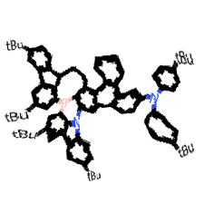 CC(C)(C)c1ccc(N(c2ccc(C(C)(C)C)cc2)c2ccc3c(c2)c2ccccc2c2c4c5c(cc32)-n2c3ccc(C(C)(C)C)cc3c3cc(C(C)(C)C)cc(c32)B5c2cc(C(C)(C)C)cc3c2C(CC4)c2ccc(C(C)(C)C)cc2-3)cc1